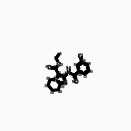 CCOC(=O)c1c(NC(=O)c2cccc(Cl)c2)nc2n1CCCC2